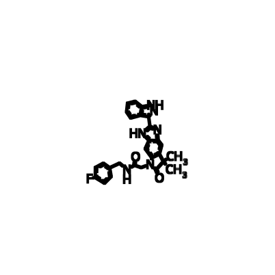 CC1(C)C(=O)N(CC(=O)NCc2ccc(F)cc2)c2cc3[nH]c(-c4n[nH]c5ccccc45)nc3cc21